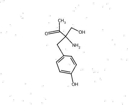 CC(=O)C(N)(CO)Cc1ccc(O)cc1